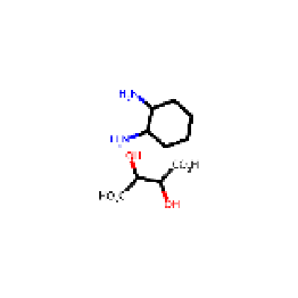 NC1CCCCC1N.O=C(O)C(O)C(O)C(=O)O